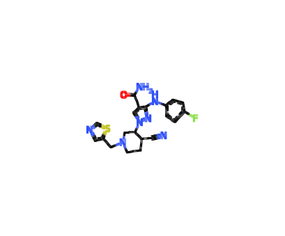 N#CC1CCN(Cc2cncs2)CC1n1cc(C(N)=O)c(Nc2ccc(F)cc2)n1